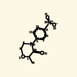 CC1OCCN(c2ccc([N+](=O)[O-])cc2)C1=O